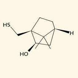 CC1(C)[C@@H]2CC[C@@]1(CS)[C@H](O)C2